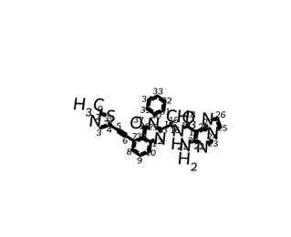 Cc1ncc(C#Cc2cccc3nc(C(C)NC(=O)c4c(N)ncn5ccnc45)n(-c4ccccc4)c(=O)c23)s1